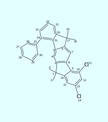 CC1(C)c2cc3c(cc2-c2c(Cl)cc(Cl)cc21)C(C)(C)c1cccc(-c2ccccc2)c1-3